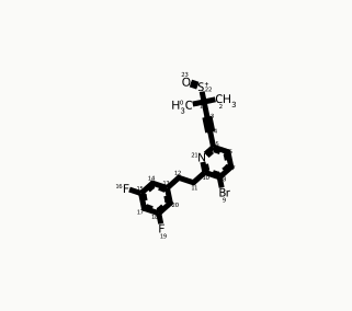 CC(C)(C#Cc1ccc(Br)c(CCc2cc(F)cc(F)c2)n1)[S+]=O